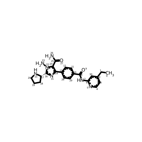 CCc1ccnc(NC(=O)c2ccc(-c3nc([C@@H]4CCCN4)n(N)c3C(N)=O)cc2)c1